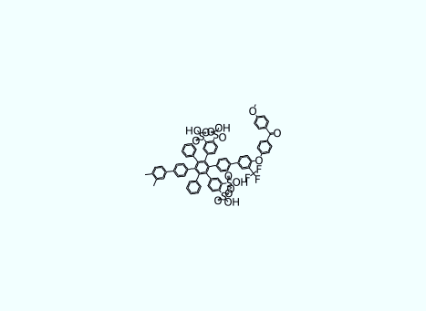 COc1ccc(C(=O)c2ccc(Oc3ccc(-c4ccc(-c5c(-c6ccc(S(=O)(=O)O)c(S(=O)(=O)O)c6)c(-c6ccccc6)c(-c6ccc(-c7ccc(C)c(C)c7)cc6)c(-c6ccccc6)c5-c5ccc(S(=O)(=O)O)c(S(=O)(=O)O)c5)cc4)cc3C(F)(F)F)cc2)cc1